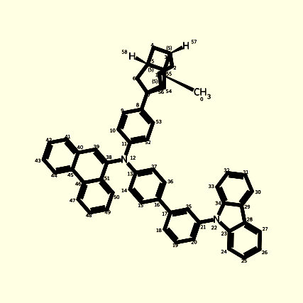 C[C@H]1C[C@H]2C[C@H]3CC(c4ccc(N(c5ccc(-c6cccc(-n7c8ccccc8c8ccccc87)c6)cc5)c5cc6ccccc6c6ccccc56)cc4)(CC23)C1